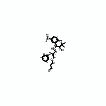 CC1(C)Oc2ccc([N+](=O)[O-])cc2C(NC/C(=C/OCCC=O)Oc2ccccc2)C1O